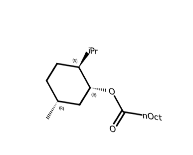 CCCCCCCCC(=O)O[C@@H]1C[C@H](C)CC[C@H]1C(C)C